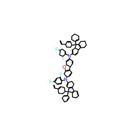 C=CC1=CCC(C2(C3=CCCC=C3)C3=C(CCC(N(c4ccc(F)cc4F)C4C=CC5=C(C4)OC4C=C(N(C6=CC7C(C=C6)C6=C(CCCC6)C7(C6=CCCCC6)C6C=CC(C=C)CC6)C6=CCC(F)CC6F)C=CC54)=C3)C3=C2CCC=C3)CC1